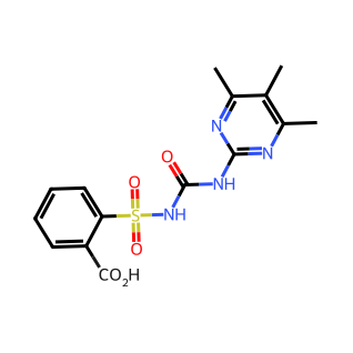 Cc1nc(NC(=O)NS(=O)(=O)c2ccccc2C(=O)O)nc(C)c1C